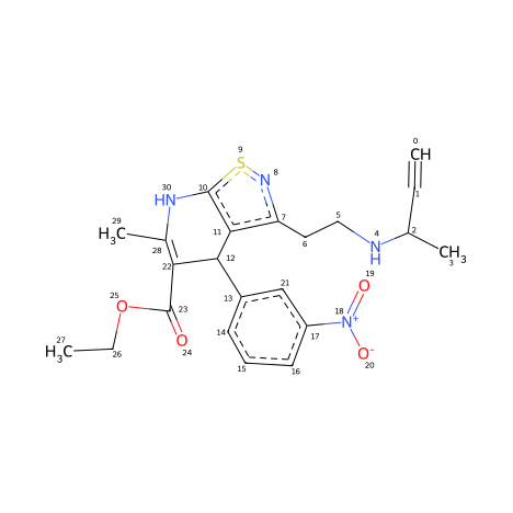 C#CC(C)NCCc1nsc2c1C(c1cccc([N+](=O)[O-])c1)C(C(=O)OCC)=C(C)N2